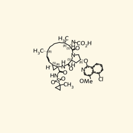 COc1cnc(O[C@@H]2C[C@H]3C(=O)N[C@]4(C(=O)NS(=O)(=O)C5(C)CC5)C[C@H]4C=C[C@H](C)CCC[C@@H](C)[C@H](NC(=O)O)C(=O)N3C2)c2cccc(Cl)c12